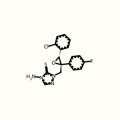 Nn1cnn(C[C@@]2(c3ccc(F)cc3)O[C@@H]2c2ccccc2Cl)c1=S